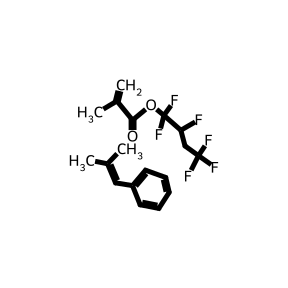 C=C(C)C(=O)OC(F)(F)C(F)CC(F)(F)F.CC(C)=Cc1ccccc1